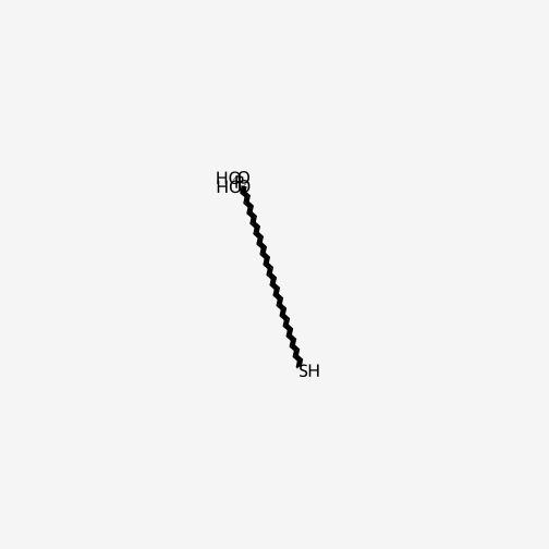 O=P(O)(O)OCCCCCCCCCCCCCCCCCCCCCCCCCCCCCCCCCCCS